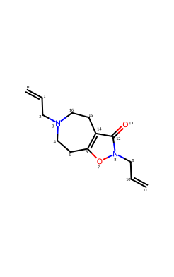 C=CCN1CCc2on(CC=C)c(=O)c2CC1